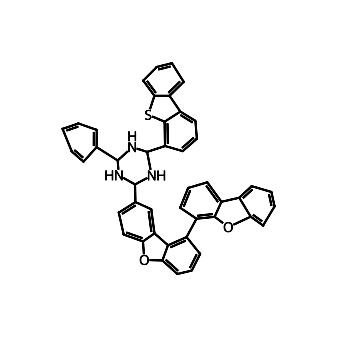 c1ccc(C2NC(c3ccc4oc5cccc(-c6cccc7c6oc6ccccc67)c5c4c3)NC(c3cccc4c3sc3ccccc34)N2)cc1